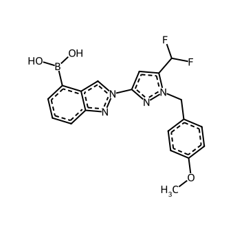 COc1ccc(Cn2nc(-n3cc4c(B(O)O)cccc4n3)cc2C(F)F)cc1